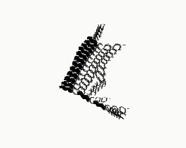 CC=CC=CC(=O)O.CC=CC=CC(=O)O.CC=CC=CC(=O)O.CC=CC=CC(=O)O.CC=CC=CC(=O)[O-].CC=CC=CC(=O)[O-].CC=CC=CC(=O)[O-].CC=CC=CC(=O)[O-].CC=CC=CC(=O)[O-].CC=CC=CC(=O)[O-].CC=CC=CC(=O)[O-].CC=CC=CC(=O)[O-].CC=CC=CC(=O)[O-].CC=CC=CC(=O)[O-].[K+].[K+].[K+].[K+].[K+].[K+].[K+].[K+].[K+].[K+]